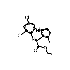 CCOC(=O)C(=Nc1c(Cl)cc(Cl)cc1Cl)c1[nH]ccc1C